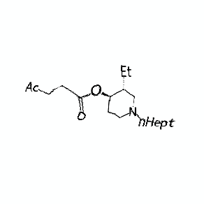 CCCCCCCN1CC[C@@H](OC(=O)CCC(C)=O)[C@H](CC)C1